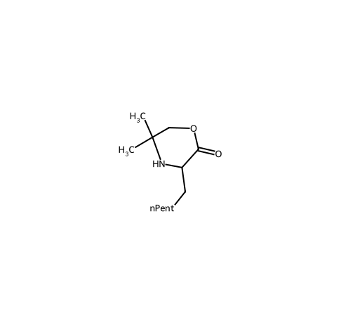 CCCCCCC1NC(C)(C)COC1=O